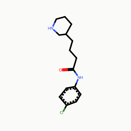 O=C(CCCC1CCCNC1)Nc1ccc(Cl)cc1